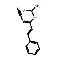 CC(C)NC(C=Cc1ccccc1)=NC#N